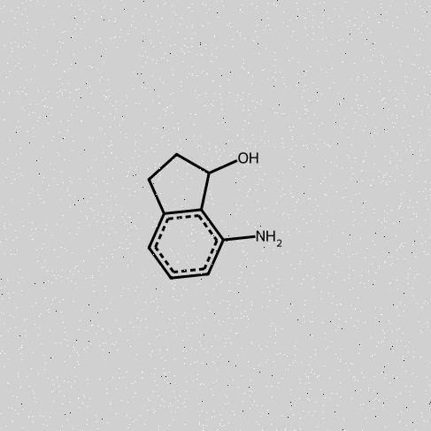 Nc1cccc2c1C(O)CC2